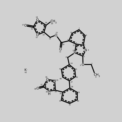 CCOc1nc2cccc(C(=O)OCc3oc(=O)oc3C)c2n1Cc1ccc(-c2ccccc2-c2noc(=O)[nH]2)cc1.[K]